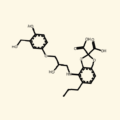 CCCc1ccc2c(c1NCC(O)COc1ccc(O)c(CO)c1)OC(C(=O)O)(C(=O)O)O2